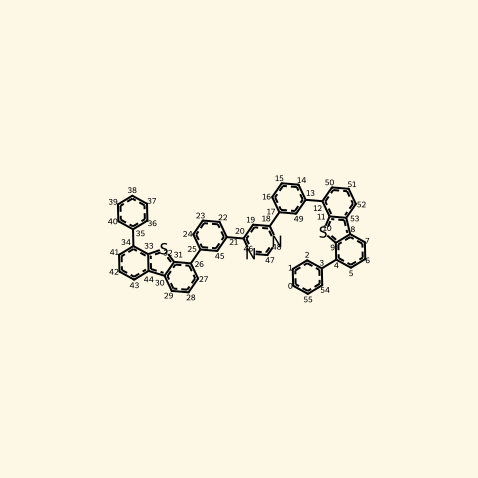 c1ccc(-c2cccc3c2sc2c(-c4cccc(-c5cc(-c6cccc(-c7cccc8c7sc7c(-c9ccccc9)cccc78)c6)ncn5)c4)cccc23)cc1